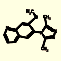 COc1cc2ncccc2cc1-n1c(C)nnc1C